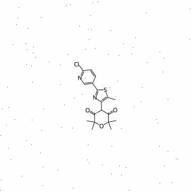 Cc1sc(-c2ccc(Cl)nc2)nc1C1C(=O)C(C)(C)OC(C)(C)C1=O